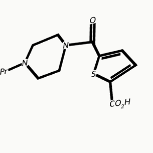 CC(C)N1CCN(C(=O)c2ccc(C(=O)O)s2)CC1